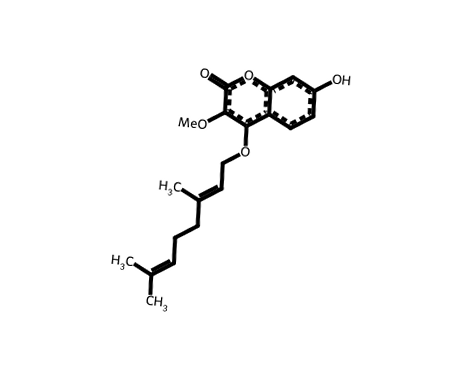 COc1c(OC/C=C(\C)CCC=C(C)C)c2ccc(O)cc2oc1=O